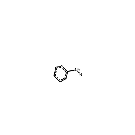 [N][N+]c1ccccn1